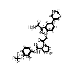 NC(=O)c1nn(CC(=O)N2C[C@H](F)C[C@H]2C(=O)Nc2cccc(OC(F)(F)F)c2F)c2ccc(-c3cncnc3)cc12